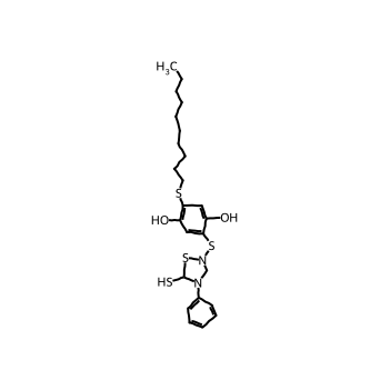 CCCCCCCCCCSc1cc(O)c(SN2CN(c3ccccc3)C(S)S2)cc1O